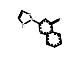 O=c1cc(N2NC=CO2)oc2ccccc12